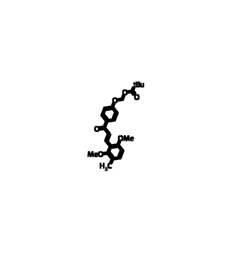 COc1ccc(C)c(OC)c1C=CC(=O)c1ccc(OCOC(=O)C(C)(C)C)cc1